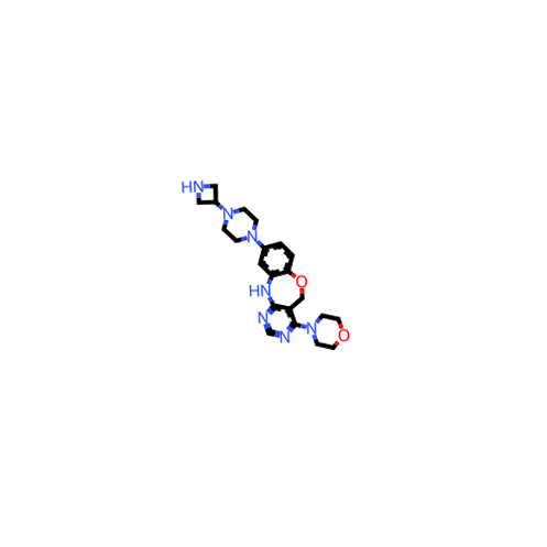 c1nc2c(c(N3CCOCC3)n1)COc1ccc(N3CCN(C4CNC4)CC3)cc1N2